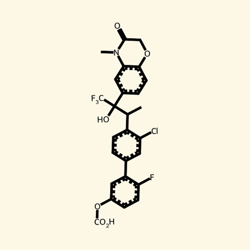 CC(c1ccc(-c2cc(OC(=O)O)ccc2F)cc1Cl)C(O)(c1ccc2c(c1)N(C)C(=O)CO2)C(F)(F)F